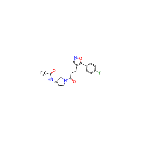 O=C(CCc1cnoc1-c1ccc(F)cc1)N1CC[C@H](NC(=O)C(F)(F)F)C1